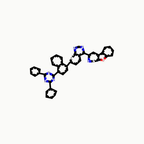 c1ccc(-c2nc(-c3ccccc3)nc(-c3ccc(-c4ccc5c(-c6cc7c(cn6)oc6ccccc67)ncnc5c4)c4ccccc34)n2)cc1